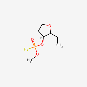 CCC1OCC[C@@H]1OP(=O)(S)OC